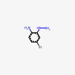 CCc1ccc(N)c(NN)c1